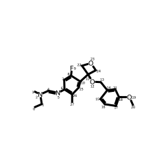 CCN(C)C=Nc1cc(F)c(C2(OCc3cccc(OC)c3)COC2)cc1C